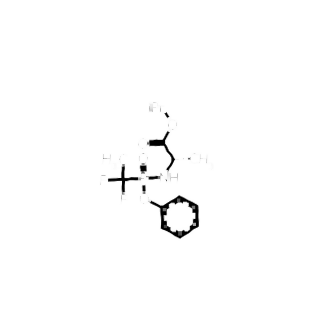 CC(C)OC(=O)[C@H](C)NP(=O)(Oc1ccccc1)C(C)(F)F